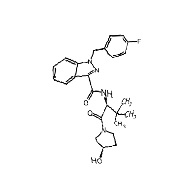 CC(C)(C)[C@H](NC(=O)c1nn(Cc2ccc(F)cc2)c2ccccc12)C(=O)N1CC[C@@H](O)C1